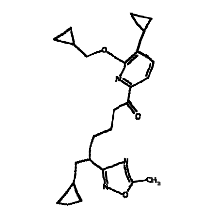 Cc1nc(C(CCCC(=O)c2ccc(C3CC3)c(OCC3CC3)n2)CC2CC2)no1